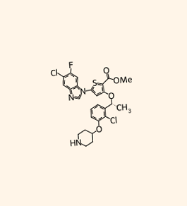 COC(=O)c1sc(-n2cnc3cc(Cl)c(F)cc32)cc1O[C@H](C)c1cccc(OC2CCNCC2)c1Cl